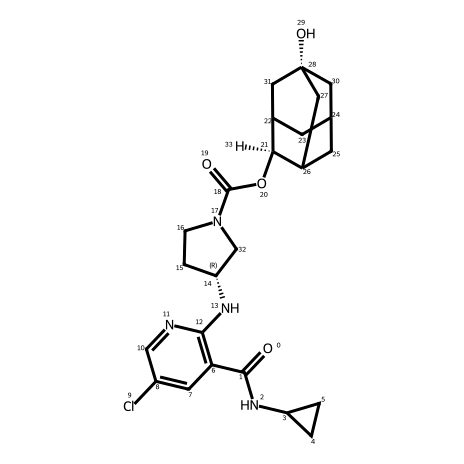 O=C(NC1CC1)c1cc(Cl)cnc1N[C@@H]1CCN(C(=O)O[C@H]2C3CC4CC2C[C@](O)(C4)C3)C1